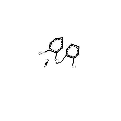 O=Cc1ccccc1O.O=Cc1ccccc1O.[O]=[V]